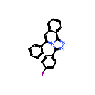 Ic1ccc(-c2nnc3c4ccccc4cc(-c4ccccc4)n23)cc1